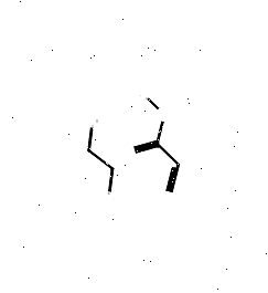 C=CC(=O)OCCCC.OCCO